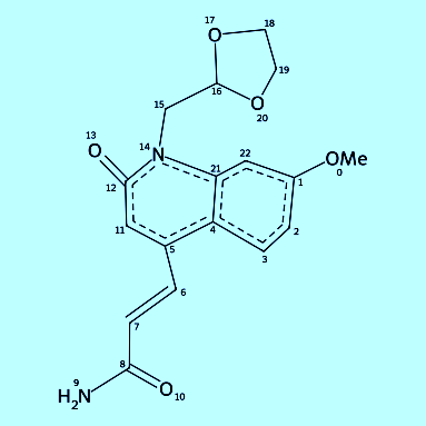 COc1ccc2c(C=CC(N)=O)cc(=O)n(CC3OCCO3)c2c1